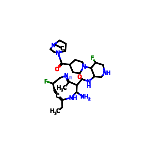 CCC1=C=CC(F)C/N=C(\C)C(C(=O)NC2CNCC(F)C2N2CCC(C(=O)N3CCN4CCC3CC4)CC2)C(N)N1